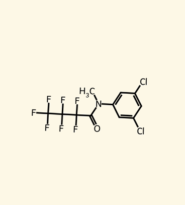 CN(C(=O)C(F)(F)C(F)(F)C(F)(F)F)c1cc(Cl)cc(Cl)c1